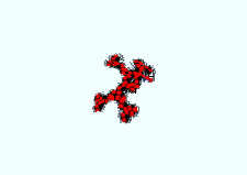 C=C/C=C(\C)Nc1cccc(-c2ccc3nnc(-c4cccc(-n5c6ccc(-c7ccc8c(c7)c7ccccc7n8-c7ccccc7)cc6c6cc(-c7ccc8c(c7)c7ccccc7n8-c7ccccc7)ccc65)c4)c(-c4cccc(-n5c6ccc(-c7ccc8c(c7)c7ccccc7n8-c7ccccc7)cc6c6cc(-c7ccc8c(c7)c7ccccc7n8-c7ccccc7)ccc65)c4)c3c2)c1